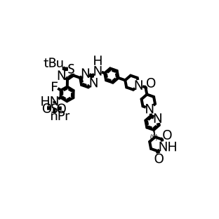 CCCS(=O)(=O)Nc1cccc(-c2nc(C(C)(C)C)sc2-c2ccnc(Nc3ccc(C4CCN(C(=O)C5CCN(c6ccc([C@@H]7CCC(=O)NC7=O)cn6)CC5)CC4)cc3)n2)c1F